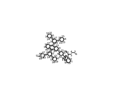 C#C/C(=C\C=C/C)n1c(-c2ccc(-c3ccc4c(-c5cc(-c6ccccc6)cc(-c6ccccc6)c5)c5ccccc5c(-c5cc(C(/C=C\C(C)C)=C/C)cc(-c6ccccc6)c5)c4c3)cc2)nc2ccccc21